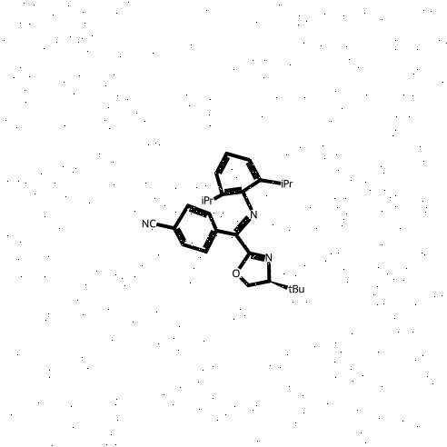 CC(C)c1cccc(C(C)C)c1/N=C(/C1=N[C@@H](C(C)(C)C)CO1)c1ccc(C#N)cc1